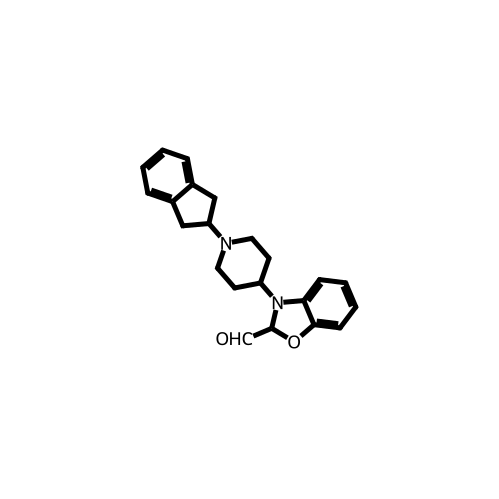 O=CC1Oc2ccccc2N1C1CCN(C2Cc3ccccc3C2)CC1